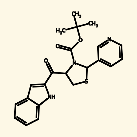 CC(C)(C)OC(=O)N1C(C(=O)c2cc3ccccc3[nH]2)CSC1c1cccnc1